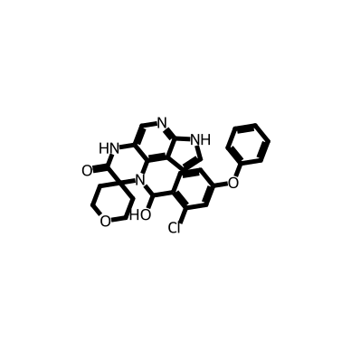 O=C1Nc2cnc3[nH]ccc3c2N(C(O)c2ccc(Oc3ccccc3)cc2Cl)C12CCOCC2